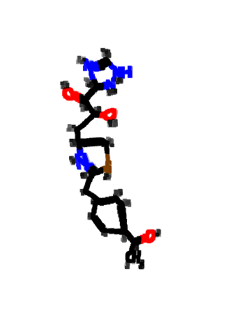 CC(=O)c1ccc(Cc2nc(CC(=O)C(=O)c3nc[nH]n3)cs2)cc1